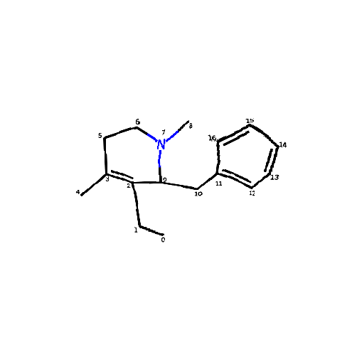 CCC1=C(C)CCN(C)C1Cc1ccccc1